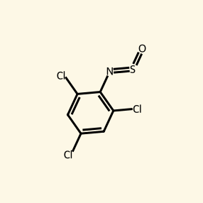 O=S=Nc1c(Cl)cc(Cl)cc1Cl